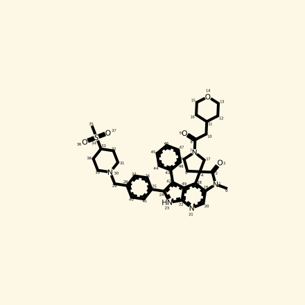 CN1C(=O)C2(CCN(C(=O)CC3CCOCC3)C2)c2c1cnc1[nH]c(-c3ccc(CN4CCC(S(C)(=O)=O)CC4)cc3)c(-c3ccccc3)c21